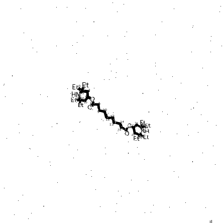 CCC1(CC)CC(OC(=O)CCCCCCCCC(=O)OC2CC(CC)(CC)NC(CC)(CC)C2)CC(CC)(CC)N1